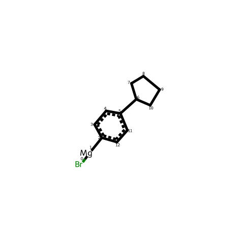 [Br][Mg][c]1ccc(C2CCCC2)cc1